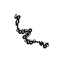 O=C(Oc1ccccc1COc1ccc2ccc(OCCCCN3CCN(c4cccc5sccc45)CC3)cc2n1)Oc1ccccc1COc1ccc2ccc(OCCCCN3CCN(c4cccc5sccc45)CC3)cc2n1